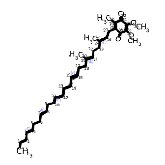 CCC/C=C/CC/C=C/CC/C=C/CC/C=C/CC/C(C)=C/CC/C(C)=C/CC1=C(C)C(=O)C(OC)=C(OC)C1=O